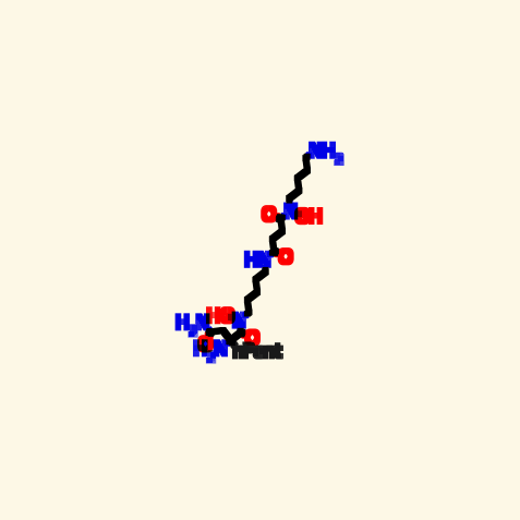 CCCCCC(N)(CC(N)=O)C(=O)N(O)CCCCCNC(=O)CCC(=O)N(O)CCCCCN